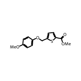 COC(=O)c1ccc(COc2ccc(OC)cc2)s1